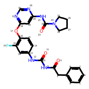 O=C(Cc1ccccc1)NC(=O)Nc1ccc(Oc2cc(NC(=O)N3CCCC3)ncn2)c(F)c1